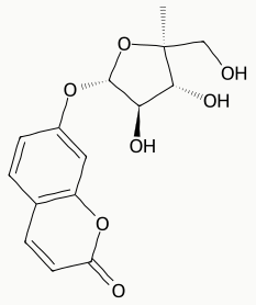 C[C@@]1(CO)O[C@@H](Oc2ccc3ccc(=O)oc3c2)[C@H](O)[C@H]1O